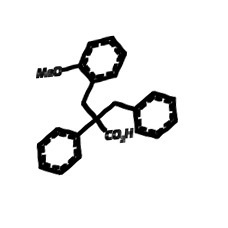 COc1ccccc1CC(Cc1ccccc1)(C(=O)O)c1ccccc1